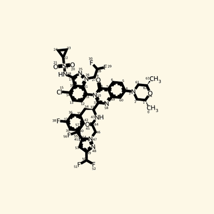 C[C@@H]1CN(c2ccc3c(=O)n(-c4ccc(Cl)c5c(NS(=O)(=O)C6CC6)nn(CC(F)F)c45)c([C@H](Cc4cc(F)cc(F)c4)NC(=O)Cn4nc(C(F)F)cc4C(F)F)nc3c2)C[C@H](C)O1